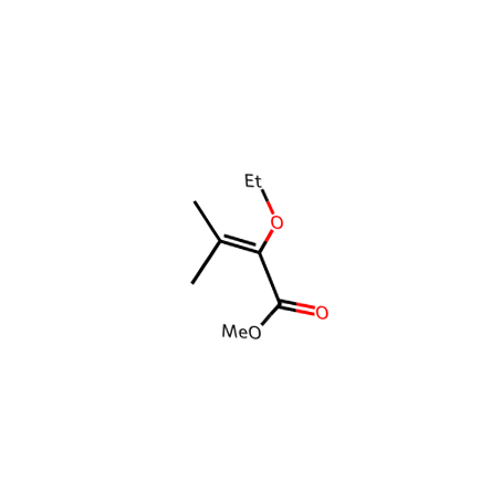 CCOC(C(=O)OC)=C(C)C